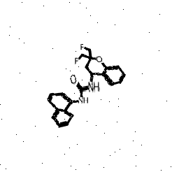 O=C(Nc1cccc2ccccc12)NC1CC(CF)(CF)Oc2ccccc21